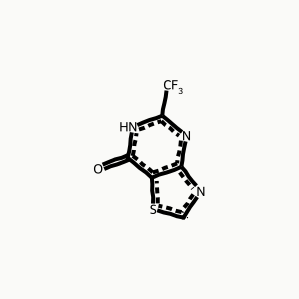 O=c1[nH]c(C(F)(F)F)nc2n[c]sc12